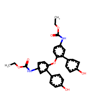 CCOC(=O)Nc1ccc(Oc2ccc(NC(=O)OCC)cc2-c2ccc(O)cc2)c(-c2ccc(O)cc2)c1